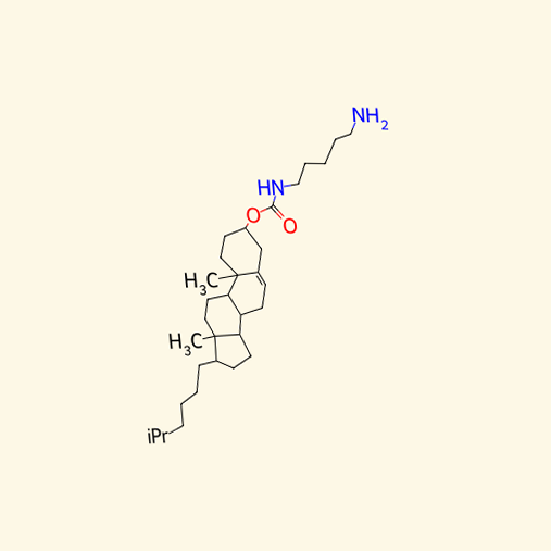 CC(C)CCCCC1CCC2C3CC=C4CC(OC(=O)NCCCCCN)CCC4(C)C3CCC12C